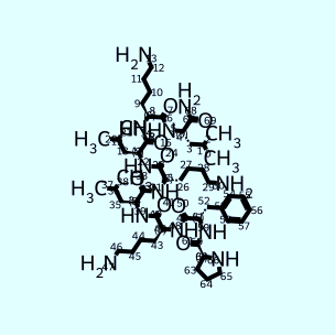 CC(C)C[C@H](NC(=O)[C@H](CCCCN)NC(=O)[C@H](CC(C)C)NC(=O)[C@H](CCCCN)NC(=O)[C@H](CC(C)C)NC(=O)[C@H](CCCCN)NC(=O)[C@H](Cc1ccccc1)NC(=O)[C@@H]1CCCN1)C(N)=O